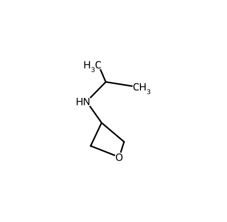 CC(C)NC1COC1